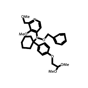 COCc1nccc(N(OCc2ccccc2)C2(c3ccc(OCC(OC)OC)cc3)CCCCC2)c1OC